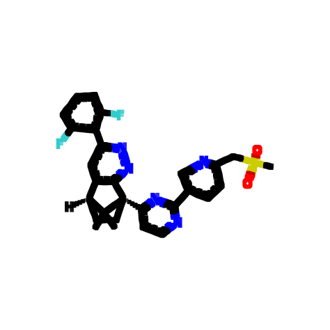 CC1(C)[C@H]2CC[C@]1(c1ccnc(-c3ccc(CS(C)(=O)=O)nc3)n1)c1nnc(-c3c(F)cccc3F)cc12